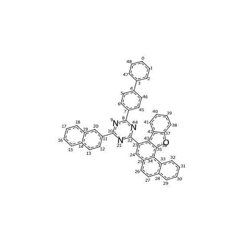 c1ccc(-c2ccc(-c3nc(-c4ccc5ccccc5c4)nc(-c4cc5ccc6ccccc6c5c5oc6ccccc6c45)n3)cc2)cc1